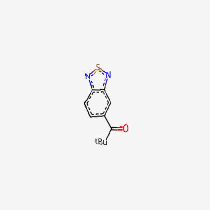 CC(C)(C)C(=O)c1ccc2nsnc2c1